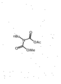 CCCCN(C(=O)OC)C(=O)OC(C)=O